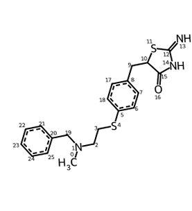 CN(CCSc1ccc(CC2SC(=N)NC2=O)cc1)Cc1ccccc1